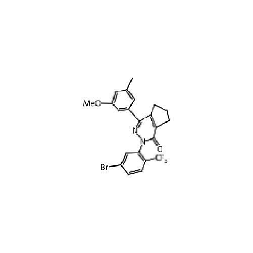 COc1cc(C)cc(-c2nn(-c3cc(Br)ccc3C(F)(F)F)c(=O)c3c2CCC3)c1